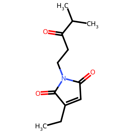 CCC1=CC(=O)N(CCC(=O)C(C)C)C1=O